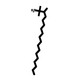 CCCCCCCCCCCCCCCC(C)C(C)(C)N